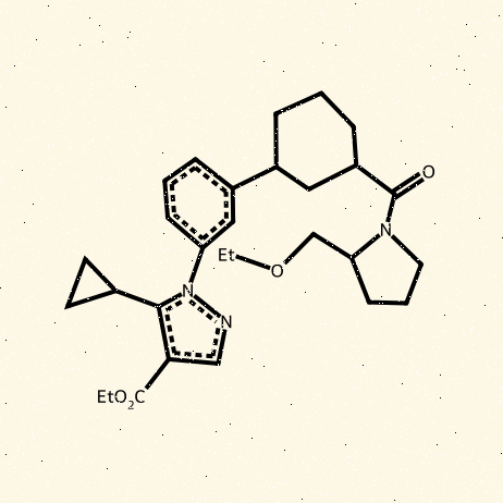 CCOCC1CCCN1C(=O)C1CCCC(c2cccc(-n3ncc(C(=O)OCC)c3C3CC3)c2)C1